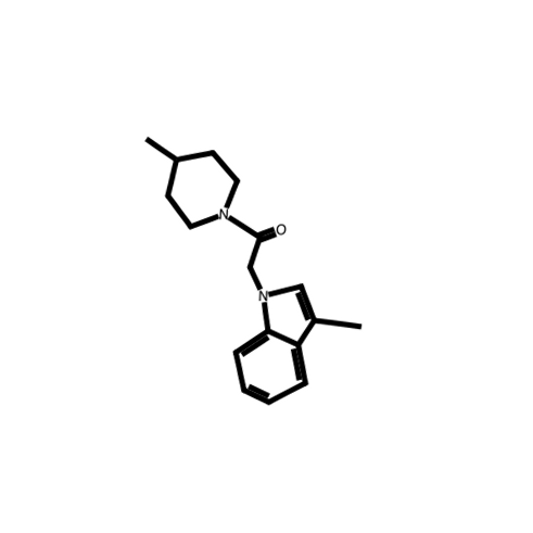 Cc1cn(CC(=O)N2CCC(C)CC2)c2ccccc12